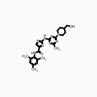 Cc1cc(C)c(NC(=O)c2cnc(Nc3nc(C)nc(N4CCC(CO)CC4)n3)s2)c(C)c1